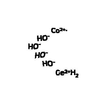 [Co+2].[GeH2+2].[OH-].[OH-].[OH-].[OH-]